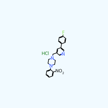 Cl.O=[N+]([O-])c1ccccc1N1CCN(Cc2cncc(-c3ccc(F)cc3)c2)CC1